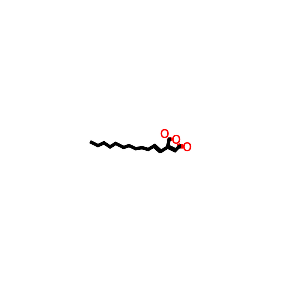 CCCCCCCCCC/C=C/C1=CC(=O)OC1=O